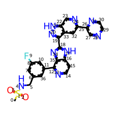 CS(=O)(=O)NCc1cc(F)cc(-c2nccc3[nH]c(-c4n[nH]c5cnc(-c6cnccn6)cc45)nc23)c1